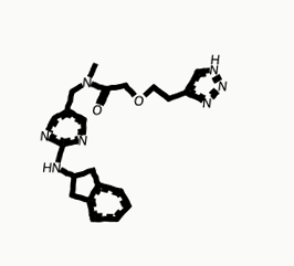 CN(Cc1cnc(NC2Cc3ccccc3C2)nc1)C(=O)COCCc1c[nH]nn1